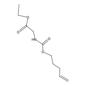 C=CCCCOC(=O)NCC(=O)OCC